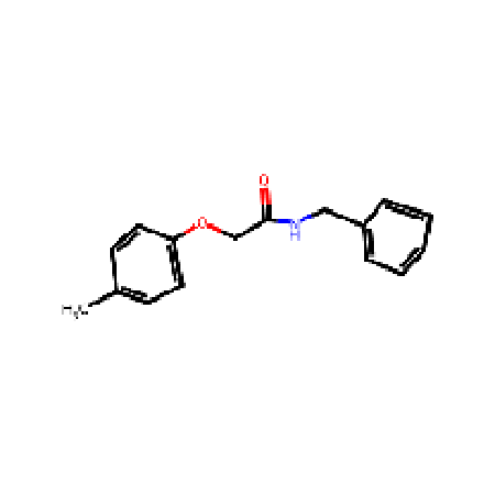 Cc1ccc(OCC(=O)NCc2ccccc2)cc1